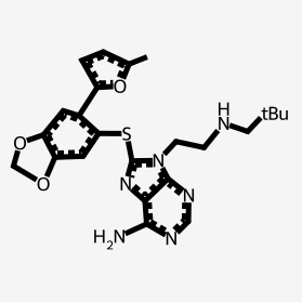 Cc1ccc(-c2cc3c(cc2Sc2nc4c(N)ncnc4n2CCNCC(C)(C)C)OCO3)o1